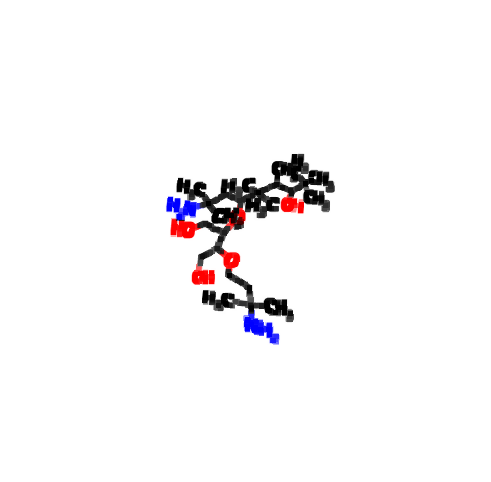 CC(C(O)C(C)(C)C)C(C)(C)C(CC(C)(C)N)OC(CO)C(CO)OCCC(C)(C)N